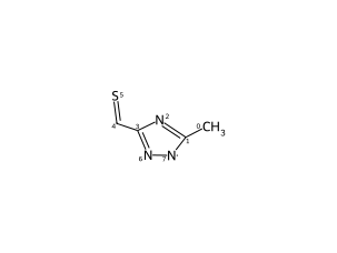 CC1=NC(C=S)=N[N]1